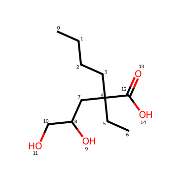 CCCCC(CC)(CC(O)CO)C(=O)O